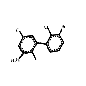 Cc1c(N)cc(Cl)cc1-c1cccc(Br)c1Cl